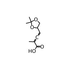 CC(=C=CC1COC(C)(C)O1)C(=O)O